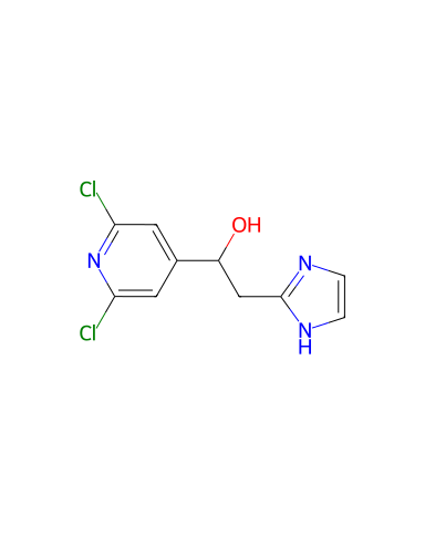 OC(Cc1ncc[nH]1)c1cc(Cl)nc(Cl)c1